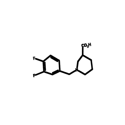 O=C(O)C1CCCN(Cc2ccc(F)c(F)c2)C1